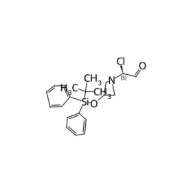 CC(C)(C)[Si](OC1CN([C@@H](Cl)C=O)C1)(c1ccccc1)c1ccccc1